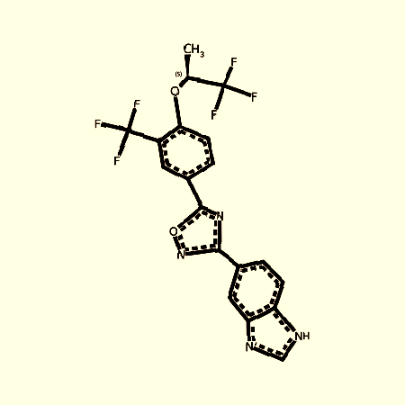 C[C@H](Oc1ccc(-c2nc(-c3ccc4[nH]cnc4c3)no2)cc1C(F)(F)F)C(F)(F)F